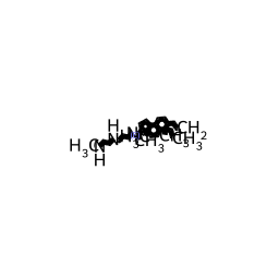 C=CCC1CCC2C(CCC3(C)C(/C(C)=N/CCCNCCNC)CCC23)C1(C)CCC